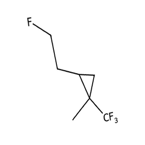 CC1(C(F)(F)F)CC1CCF